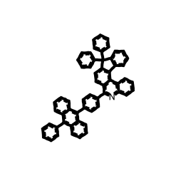 c1ccc(-c2c3ccccc3c(-c3ccc(-c4nc5ccccc5c5c6c(ccc45)C(c4ccccc4)(c4ccccc4)c4ccccc4-6)cc3)c3ccccc23)cc1